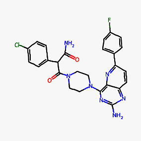 NC(=O)C(C(=O)N1CCN(c2nc(N)nc3ccc(-c4ccc(F)cc4)nc23)CC1)c1ccc(Cl)cc1